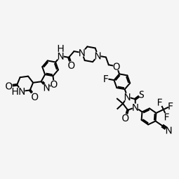 CC1(C)C(=O)N(c2ccc(C#N)c(C(F)(F)F)c2)C(=S)N1c1ccc(OCCN2CCN(CC(=O)Nc3ccc4c(C5CCC(=O)NC5=O)noc4c3)CC2)c(F)c1